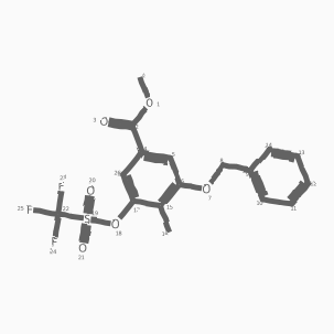 COC(=O)c1cc(OCc2ccccc2)c(C)c(OS(=O)(=O)C(F)(F)F)c1